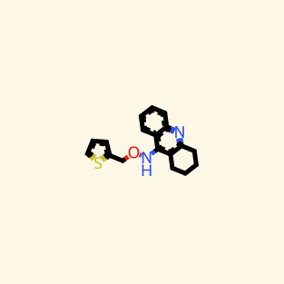 c1csc(CONc2c3c(nc4ccccc24)CCCC3)c1